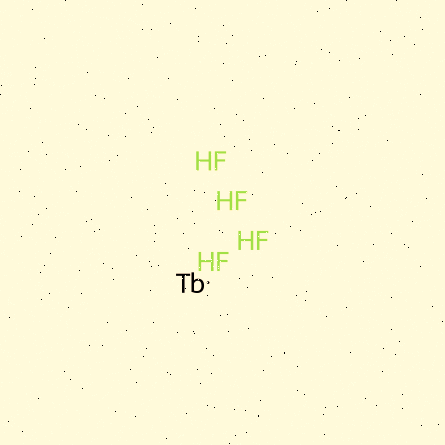 F.F.F.F.[Tb]